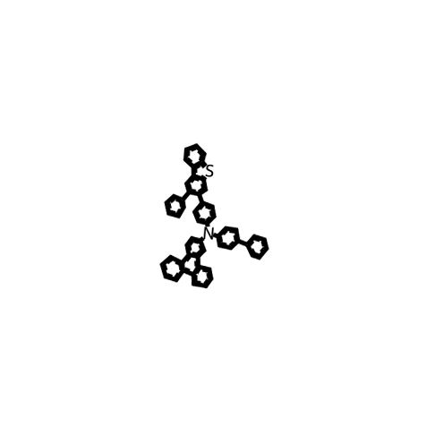 c1ccc(-c2ccc(N(c3ccc(-c4cc5sc6ccccc6c5cc4-c4ccccc4)cc3)c3ccc4c5ccccc5c5ccccc5c4c3)cc2)cc1